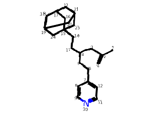 C=C(C)CC(C[CH]c1ccncc1)CCC12CC3CC(CC(C3)C1)C2